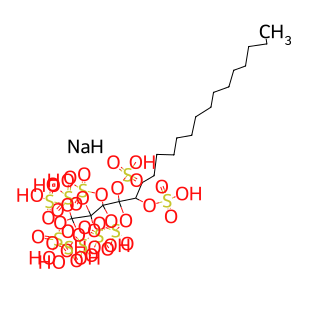 CCCCCCCCCCCCCCCC(OS(=O)(=O)O)C(OS(=O)(=O)O)(OS(=O)(=O)O)C(OS(=O)(=O)O)(OS(=O)(=O)O)C(OS(=O)(=O)O)(OS(=O)(=O)O)C(OS(=O)(=O)O)(OS(=O)(=O)O)OS(=O)(=O)O.[NaH]